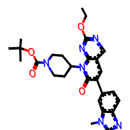 CCOc1ncc2cc(-c3ccc4ncn(C)c4c3)c(=O)n(C3CCN(C(=O)OC(C)(C)C)CC3)c2n1